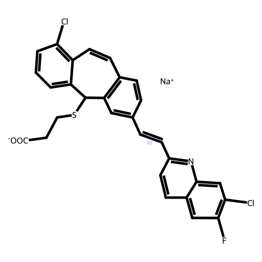 O=C([O-])CCSC1c2cc(/C=C/c3ccc4cc(F)c(Cl)cc4n3)ccc2C=Cc2c(Cl)cccc21.[Na+]